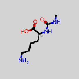 CNC(=O)N[C@@H](CCCCN)C(=O)O